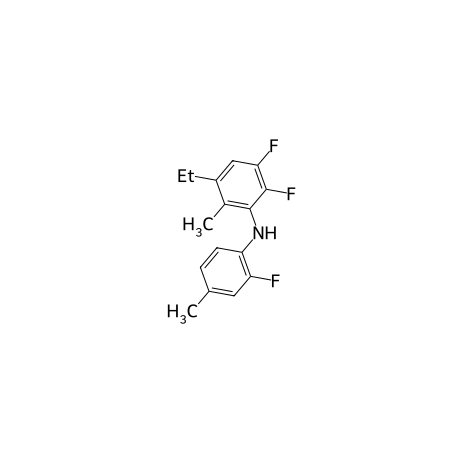 CCc1cc(F)c(F)c(Nc2ccc(C)cc2F)c1C